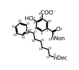 CCCCCCCCCC(=O)c1ccc(O)c(C(=O)[O-])c1.CCCCCCCCCCCCCCCC[n+]1ccccc1